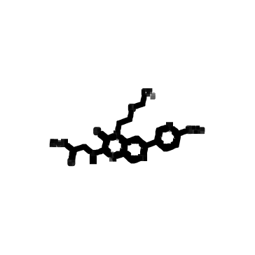 CNC(=O)CNc1nc2cnc(-c3ccc(OC)nc3)cc2n(CCOCC(F)(F)F)c1=O